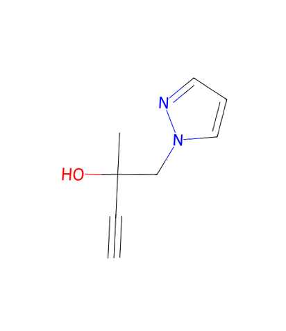 C#CC(C)(O)Cn1cccn1